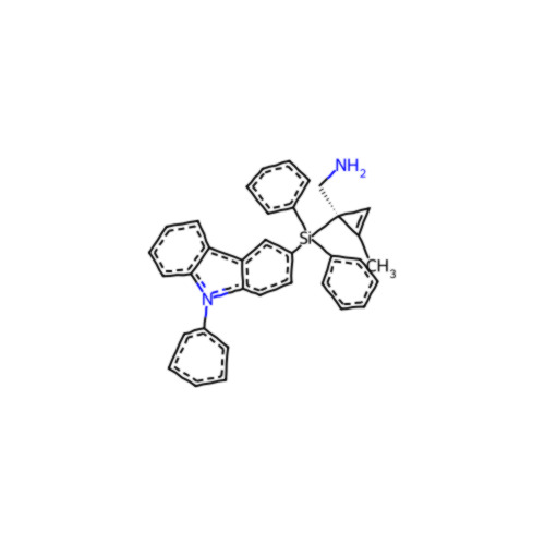 CC1=C[C@]1(CN)[Si](c1ccccc1)(c1ccccc1)c1ccc2c(c1)c1ccccc1n2-c1ccccc1